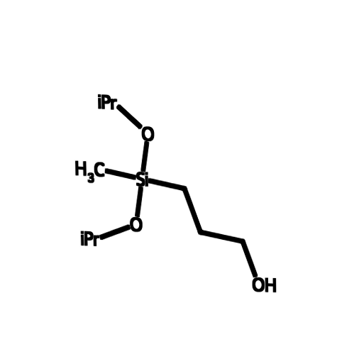 CC(C)O[Si](C)(CCCO)OC(C)C